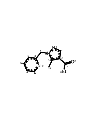 CCC(=O)c1cnn(Cc2ccccn2)c1C